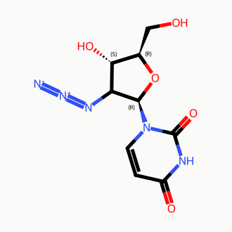 [N-]=[N+]=NC1[C@H](n2ccc(=O)[nH]c2=O)O[C@H](CO)[C@H]1O